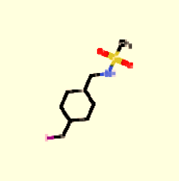 CS(=O)(=O)NCC1CCC(CI)CC1